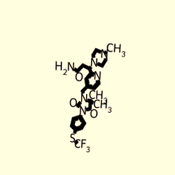 CN1CCN(C(CC(N)=O)c2cc(CN3C(=O)N(c4ccc(SC(F)(F)F)cc4)C(=O)C3(C)C)ccn2)CC1